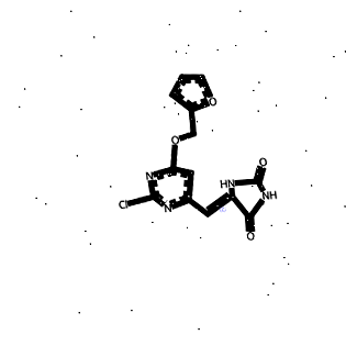 O=C1NC(=O)/C(=C/c2cc(OCc3ccco3)nc(Cl)n2)N1